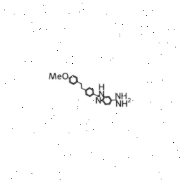 COc1ccc(CCc2ccc(-c3nc4ccc(C(=N)N)cc4[nH]3)cc2)cc1